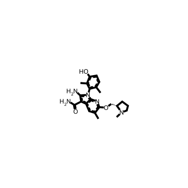 Cc1cc2c(C(N)=O)c(N)n(-c3c(C)ccc(O)c3C)c2nc1OC[C@@H]1CCCN1C